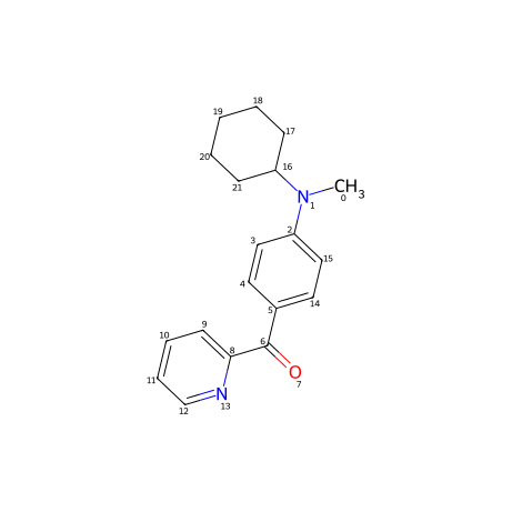 CN(c1ccc(C(=O)c2ccccn2)cc1)C1CCCCC1